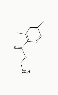 Cc1ccc(C(=S)SCC(=O)O)c(C)c1